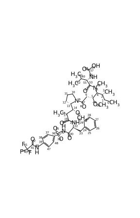 CC[C@@H](C)[C@@H]([C@@H](CC(=O)N1CCC[C@H]1[C@H](OC)[C@@H](C)C(=O)N[C@@H](Cc1ccccc1)C(=O)NS(=O)(=O)c1ccc(NC(=O)C(F)(F)F)cc1)OC)N(C)C(=O)[C@@H](NC(=O)O)C(C)C